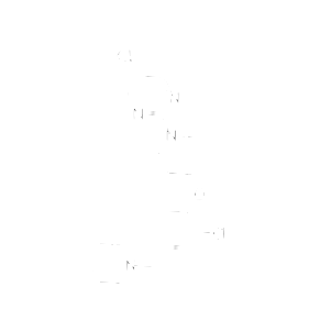 Clc1cnc(N2CCC(Oc3ccc(CN4CCCCC4)cc3Cl)CC2)nc1